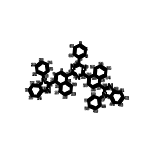 c1ccc(-c2nc(-c3ccc(-c4nc5ccccc5n4-c4ccccc4)c4ccccc34)nc(-c3ccc(-c4nc5ccccc5n4-c4ccccc4)c4ccccc34)n2)cc1